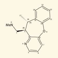 CNC[C@@H]1c2ncccc2Oc2ccccc2[C@H]1C